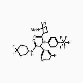 CNC1(C#N)CCC1C(=O)N(c1ccc(S(F)(F)(F)(F)F)cc1)C(C(=O)NC1CCC(F)(F)CC1)c1cncc(F)c1